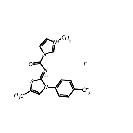 Cc1cn(-c2ccc(C(F)(F)F)cc2)/c(=N/C(=O)n2cc[n+](C)c2)s1.[I-]